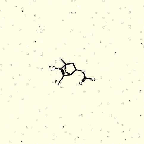 CCC(=O)OC1CC2(C)OC1C(C(F)(F)F)=C2C(F)(F)F